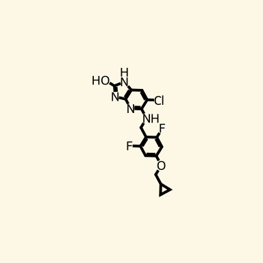 Oc1nc2nc(NCc3c(F)cc(OCC4CC4)cc3F)c(Cl)cc2[nH]1